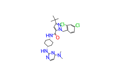 CN(C)c1ccnc(N[C@H]2CC[C@@H](NC(=O)c3cc(C(C)(C)C)nn3Cc3ccc(Cl)cc3Cl)CC2)n1